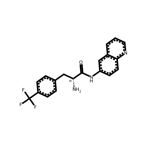 N[C@H](Cc1ccc(C(F)(F)F)cc1)C(=O)Nc1ccc2ncccc2c1